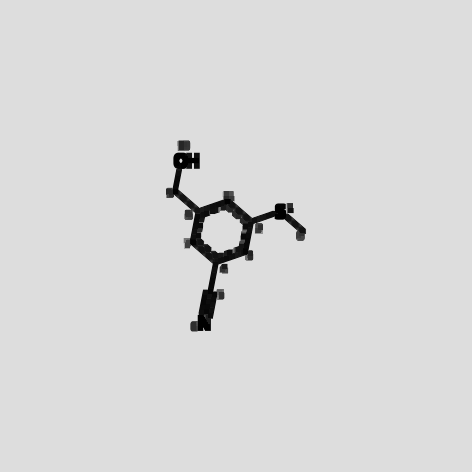 CSc1cc(C#N)cc(CO)c1